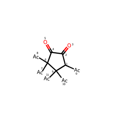 CC(=O)C1C(=O)C(=O)C(C(C)=O)(C(C)=O)C1(C(C)=O)C(C)=O